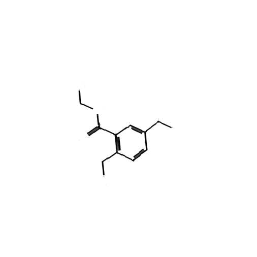 CCOC(=O)c1cc(CI)ccc1CBr